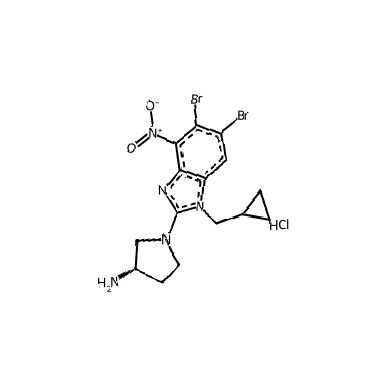 Cl.N[C@@H]1CCN(c2nc3c([N+](=O)[O-])c(Br)c(Br)cc3n2CC2CC2)C1